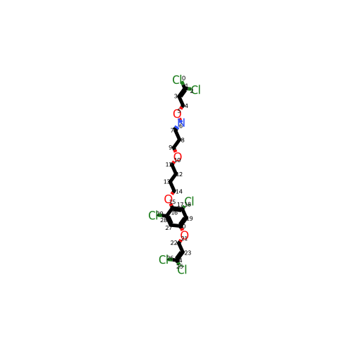 ClC(Cl)=CCON=CCCOCCCCOc1c(Cl)cc(OCC=C(Cl)Cl)cc1Cl